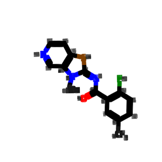 CCCCn1c(=NC(=O)c2cc(C(F)(F)F)ccc2F)sc2ccncc21